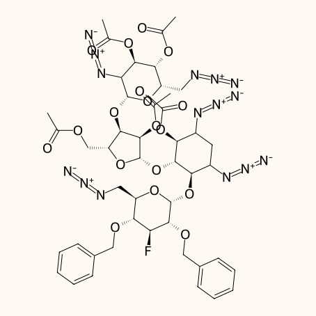 CC(=O)OC[C@H]1O[C@@H](O[C@H]2[C@H](O[C@H]3O[C@H](CN=[N+]=[N-])[C@@H](OCc4ccccc4)[C@H](F)[C@H]3OCc3ccccc3)C(N=[N+]=[N-])CC(N=[N+]=[N-])[C@@H]2OC(C)=O)[C@H](OC(C)=O)[C@@H]1O[C@H]1O[C@@H](CN=[N+]=[N-])[C@@H](OC(C)=O)[C@H](OC(C)=O)C1N=[N+]=[N-]